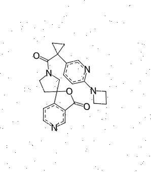 O=C1OC2(CCN(C(=O)C3(c4ccc(N5CCC5)nc4)CC3)C2)c2ccncc21